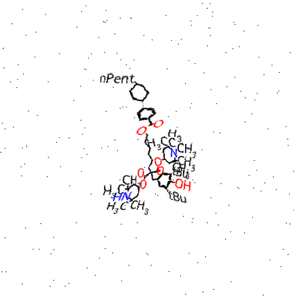 CCCCC[C@H]1CC[C@H](c2ccc(C(=O)OCCCCCCC(Cc3cc(C(C)(C)C)c(O)c(C(C)(C)C)c3)(C(=O)OC3CC(C)(C)NC(C)(C)C3)C(=O)OC3CC(C)(C)N(C)C(C)(C)C3)cc2)CC1